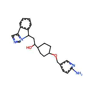 Nc1ccc(COC2CCC(C(O)CC3c4ccccc4-c4cncn43)CC2)cn1